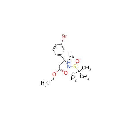 CCOC(=O)C[C@](C)(N[S@+]([O-])C(C)(C)C)c1cccc(Br)c1